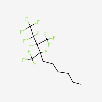 CCCCCCC(F)(C(F)(F)F)C(F)(C(F)(F)F)C(F)(F)C(F)(F)F